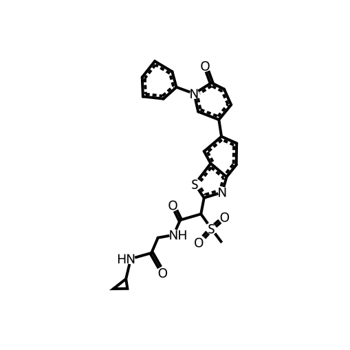 CS(=O)(=O)C(C(=O)NCC(=O)NC1CC1)c1nc2ccc(-c3ccc(=O)n(-c4ccccc4)c3)cc2s1